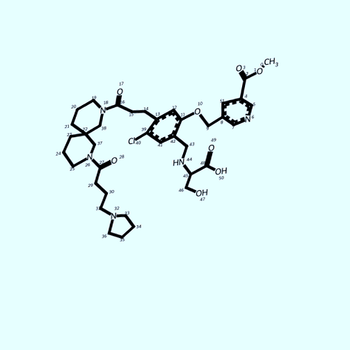 COC(=O)c1cncc(COc2cc(CCC(=O)N3CCCC4(CCCN(C(=O)CCCN5CCCC5)C4)C3)c(Cl)cc2CNC(CO)C(=O)O)c1